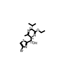 CCOC1=N[C@@H]([C@H](O)c2nc(Br)cs2)C(C)=N[C@@H]1C(C)C